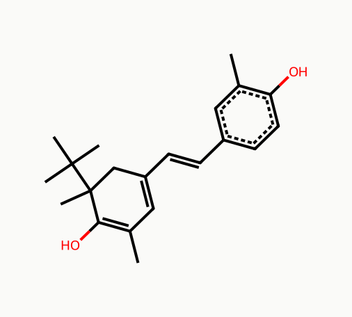 CC1=C(O)C(C)(C(C)(C)C)CC(C=Cc2ccc(O)c(C)c2)=C1